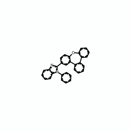 c1ccc(-n2c(-c3ccc4c(c3)-c3ccccc3-c3ccccc3O4)nc3ccccc32)cc1